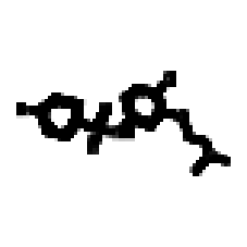 CN(C)CCOc1cc(NS(=O)(=O)c2ccc(Br)cc2)ccc1Cl